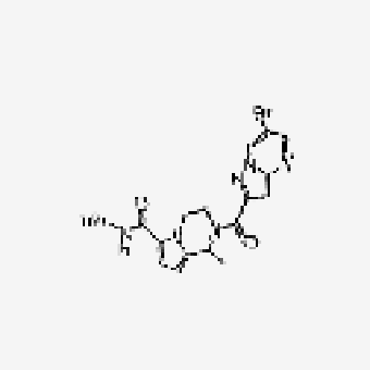 CCCNC(=O)c1ccc2n1CCN(C(=O)c1cc3ncc(Br)cn3n1)C2C